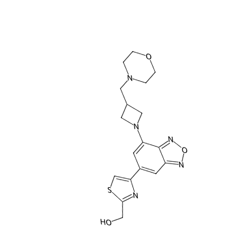 OCc1nc(-c2cc(N3CC(CN4CCOCC4)C3)c3nonc3c2)cs1